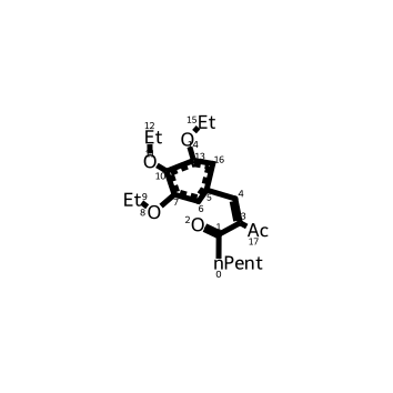 CCCCCC(=O)C(=Cc1cc(OCC)c(OCC)c(OCC)c1)C(C)=O